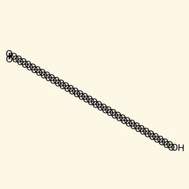 O=P(=O)OOOOOOOOOOOOOOOOOOOOOOOOOOOOOOOOOOOOOOOOOOOOOOOOOOOOOOOOOOOOOOOOOOOOO